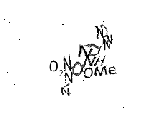 COc1cc(N(C)CCN(C)C)c([N+](=O)[O-])cc1Nc1cc(-c2nn(C)c3cccnc23)ccn1